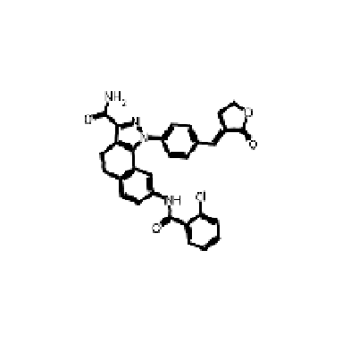 NC(=O)c1nn(-c2ccc(/C=C3\CCOC3=O)cc2)c2c1CCc1ccc(NC(=O)c3ccccc3Cl)cc1-2